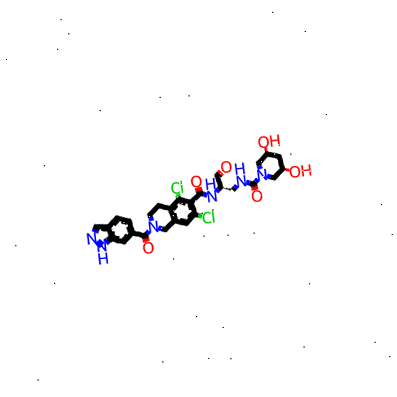 O=C[C@H](CNC(=O)N1C[C@H](O)C[C@H](O)C1)NC(=O)c1c(Cl)cc2c(c1Cl)CCN(C(=O)c1ccc3cn[nH]c3c1)C2